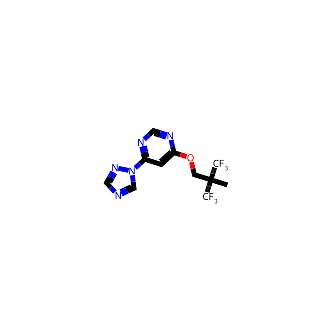 CC(COc1cc(-n2cncn2)ncn1)(C(F)(F)F)C(F)(F)F